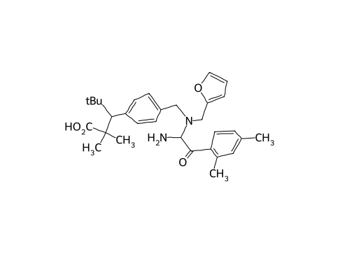 Cc1ccc(C(=O)C(N)N(Cc2ccc(C(C(C)(C)C)C(C)(C)C(=O)O)cc2)Cc2ccco2)c(C)c1